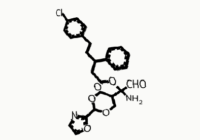 NC(C=O)(OC(=O)CC(CCc1ccc(Cl)cc1)c1ccccc1)C1COC(c2ncco2)OC1